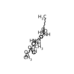 CCCCCCCCOC(=O)NC(=N)c1ccc(NCc2nc3c(C)c(OC(=O)N(CCC(=O)OCC)c4cccnc4)ccc3[nH]2)cc1